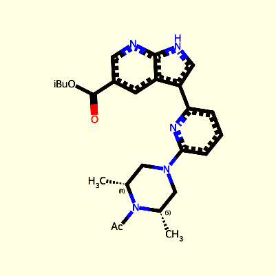 CC(=O)N1[C@H](C)CN(c2cccc(-c3c[nH]c4ncc(C(=O)OCC(C)C)cc34)n2)C[C@@H]1C